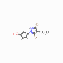 CCOC(=O)c1c(Br)nn(C2CCC(O)C2)c1Br